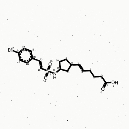 O=C(O)CCCC=CC1CCC(NS(=O)(=O)C=Cc2ccc(Br)cc2)C1